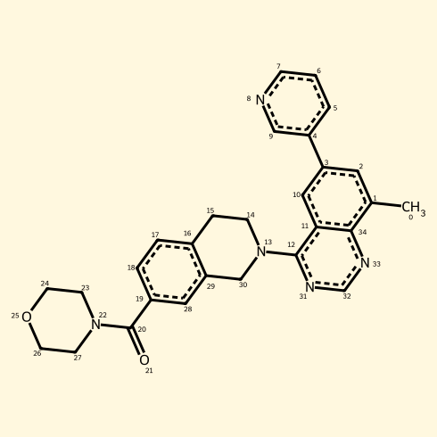 Cc1cc(-c2cccnc2)cc2c(N3CCc4ccc(C(=O)N5CCOCC5)cc4C3)ncnc12